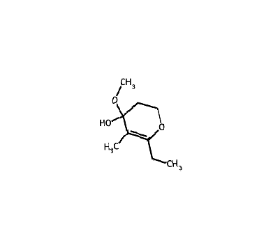 CCC1=C(C)C(O)(OC)CCO1